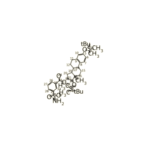 CC(C)(C)[Si](C)(C)Oc1ccc2c(c1)CCC1C2CC[C@@]2(C)C1C[C@@H](OC(=O)c1cccc(S(N)(=O)=O)c1)[C@@H]2O[Si](C)(C)C(C)(C)C